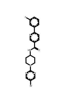 O=C(NC1CCN(c2ncc(Br)cn2)CC1)c1ccc(-c2cccc(F)c2)nc1